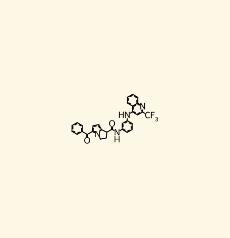 O=C(c1ccccc1)c1ccc2n1CCC2C(=O)Nc1cccc(Nc2cc(C(F)(F)F)nc3ccccc23)c1